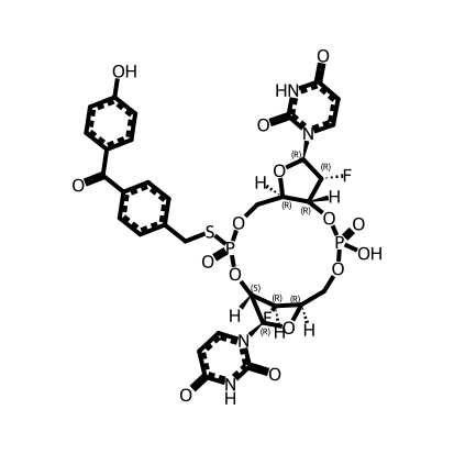 O=C(c1ccc(O)cc1)c1ccc(CSP2(=O)OC[C@H]3O[C@@H](n4ccc(=O)[nH]c4=O)[C@H](F)[C@@H]3OP(=O)(O)OC[C@H]3O[C@@H](n4ccc(=O)[nH]c4=O)[C@H](O2)[C@@H]3F)cc1